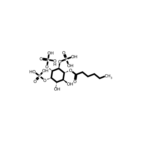 CCCCCC(=O)O[C@@H]1[C@@H](O)[C@H](O)[C@H](OP(=O)(O)O)[C@H](OP(=O)(O)O)[C@H]1OP(=O)(O)O